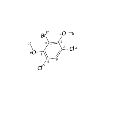 COc1c(Cl)[c]c(Cl)c(OC)c1Br